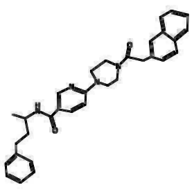 CC(CCc1ccccc1)NC(=O)c1ccc(N2CCN(C(=O)Cc3ccc4ccccc4c3)CC2)nc1